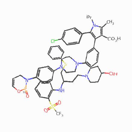 Cc1c(C(=O)O)c(-c2cccc(N3CCN(c4ccc(N5CC=CO[P@]5(=O)c5ccc(NC(CCN6CCC(O)CC6)CSc6ccccc6)c(S(=O)(=O)C(F)(F)F)c5)cc4)CC3)c2)c(-c2ccc(Cl)cc2)n1C(C)C